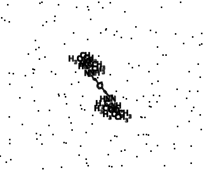 CC(C)(C)OC(=O)N[C@H](c1ncc(C#Cc2ccc(C#Cc3cnc([C@@H](NC(=O)OC(C)(C)C)C(C)(C)C)[nH]3)cc2)[nH]1)C(C)(C)C